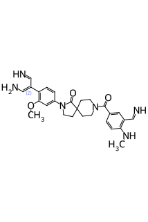 CNc1ccc(C(=O)N2CCC3(CC2)CCN(c2ccc(/C(C=N)=C/N)c(OC)c2)C3=O)cc1C=N